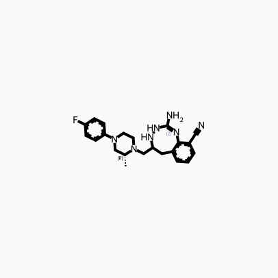 C[C@@H]1CN(c2ccc(F)cc2)CCN1CC1Cc2cccc(C#N)c2/N=C(/N)NN1